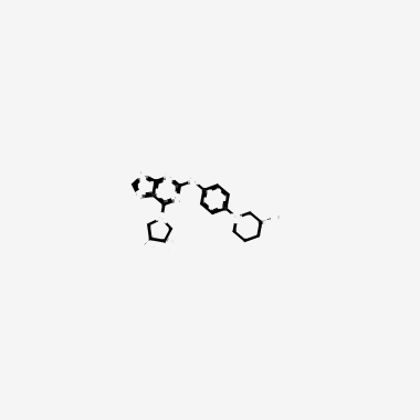 O[C@H]1CCCN(c2ccc(Nc3nc(N4C[C@H](F)[C@@H](F)C4)c4nc[nH]c4n3)cc2)C1